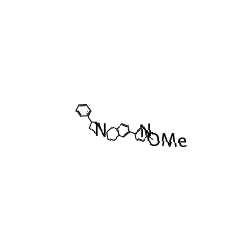 COc1ccc(-c2ccc3c(c2)CCC(N2CCC(c4ccccc4)C2)C3)cn1